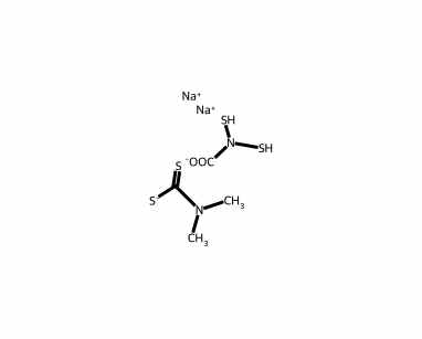 CN(C)C(=S)[S-].O=C([O-])N(S)S.[Na+].[Na+]